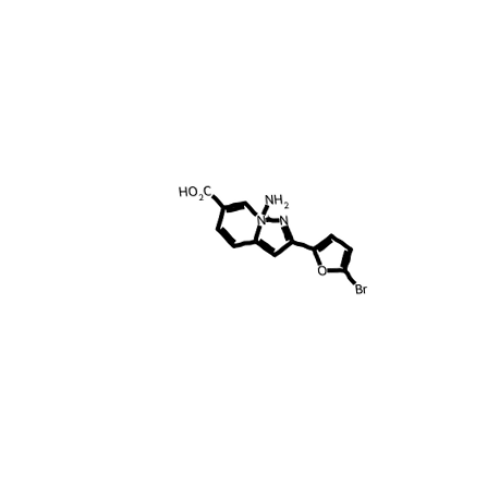 N[N+]12C=C(C(=O)O)C=CC1=CC(c1ccc(Br)o1)=N2